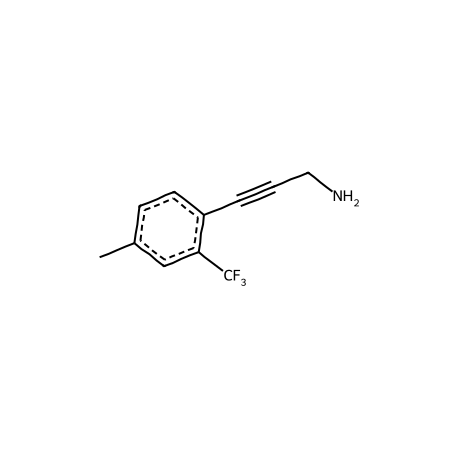 Cc1ccc(C#CCN)c(C(F)(F)F)c1